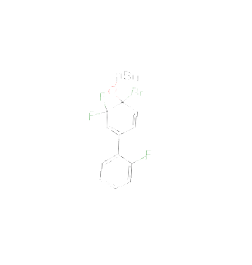 CCCCOC1(Br)C=CC(c2ccccc2F)=CC1(F)F